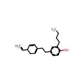 C=CC1C=CC(CCc2ccc(O)c(CCCC(F)(F)F)c2)=CC1